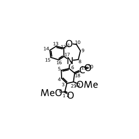 COC(=O)C1=CC=C(N2CCCOc3ccccc32)C(=C=O)C1OC